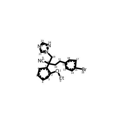 CCOc1ccccc1C(C#N)(CCc1ccc(Br)cc1)Cn1cncn1